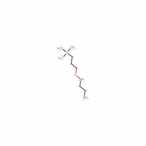 C[Si](C)(C)CCCONCCN